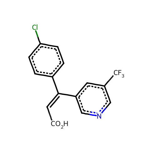 O=C(O)C=C(c1ccc(Cl)cc1)c1cncc(C(F)(F)F)c1